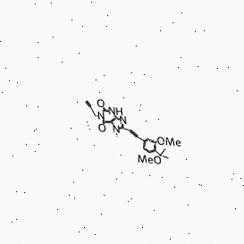 C#CCn1c(=O)[nH]c2nc(C#Cc3ccc(C(C)(C)OC)c(OC)c3)n(C)c2c1=O